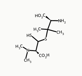 CN(C)[C@H](C(=O)O)C(S)SC(C)(C)[C@H](N)C(=O)O